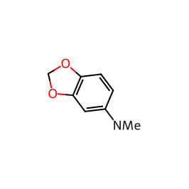 [CH2]Nc1ccc2c(c1)OCO2